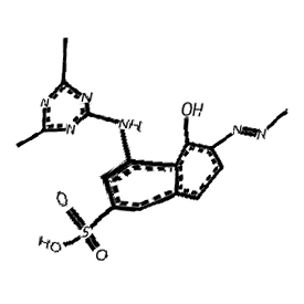 CN=Nc1ccc2cc(S(=O)(=O)O)cc(Nc3nc(C)nc(C)n3)c2c1O